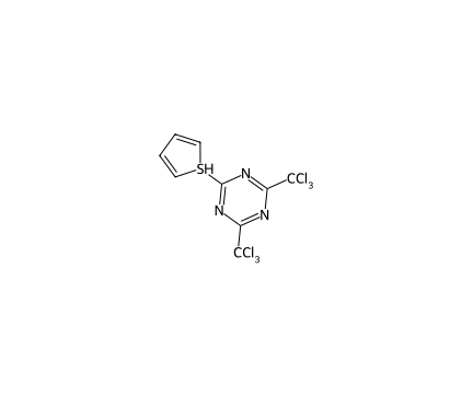 ClC(Cl)(Cl)c1nc([SH]2C=CC=C2)nc(C(Cl)(Cl)Cl)n1